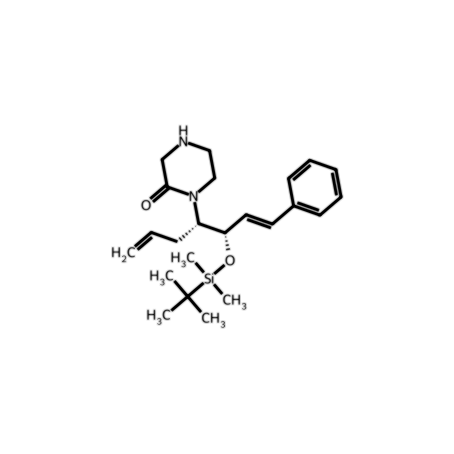 C=CC[C@@H]([C@H](C=Cc1ccccc1)O[Si](C)(C)C(C)(C)C)N1CCNCC1=O